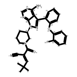 CC(C)(C)C=C(C#N)C(=O)N1CCC[C@@H](n2nc(-c3ccccc3Oc3ccccc3F)c3c(N)ncnc32)C1